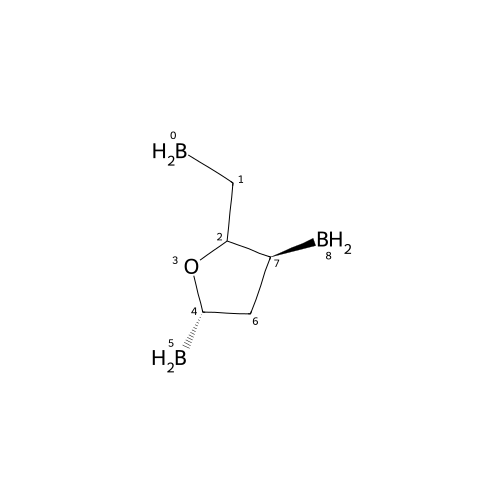 BCC1O[C@@H](B)C[C@@H]1B